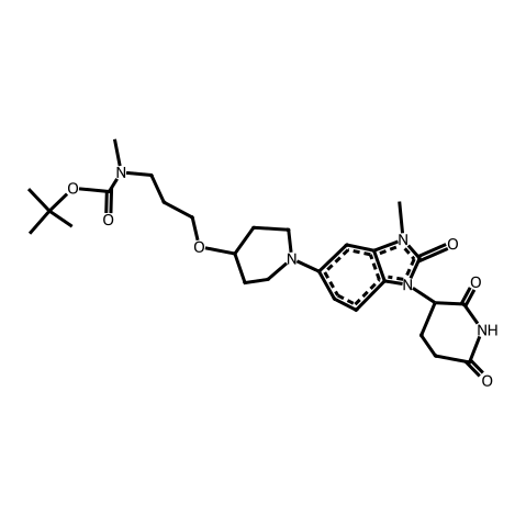 CN(CCCOC1CCN(c2ccc3c(c2)n(C)c(=O)n3C2CCC(=O)NC2=O)CC1)C(=O)OC(C)(C)C